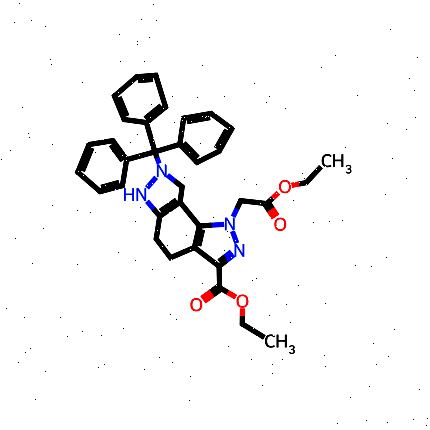 CCOC(=O)Cn1nc(C(=O)OCC)c2c1C1=C(CC2)NN(C(c2ccccc2)(c2ccccc2)c2ccccc2)C1